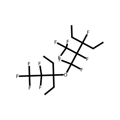 CCC(F)(CC)C(F)(C(F)(F)F)C(F)(F)OC(CC)(CC)C(F)(F)C(F)(F)F